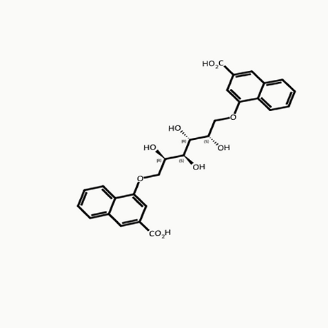 O=C(O)c1cc(OC[C@@H](O)[C@H](O)[C@H](O)[C@@H](O)COc2cc(C(=O)O)cc3ccccc23)c2ccccc2c1